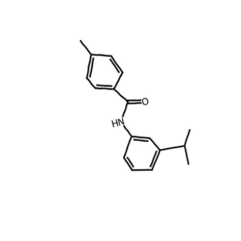 Cc1ccc(C(=O)Nc2cccc(C(C)C)c2)cc1